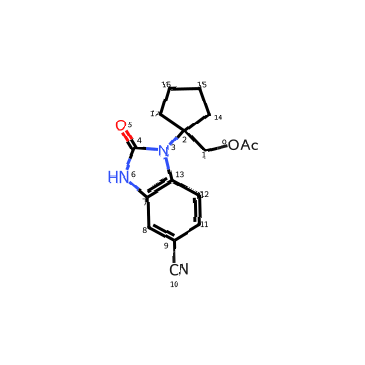 CC(=O)OCC1(n2c(=O)[nH]c3cc(C#N)ccc32)CCCC1